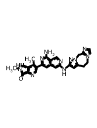 Cc1c(-c2cc3cc(Nc4cc5n(n4)Cc4nccn4CC5)ncc3c(N)n2)cnc2c(=O)n(C)[nH]c12